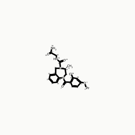 CC(C)Oc1ccc(C(=O)N2C[C@@H](C)N(C(=O)NCC(N)=O)Cc3ccccc32)c(Cl)c1